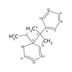 CCC1(C(C)(C)c2ccccc2)C=CC=CC1